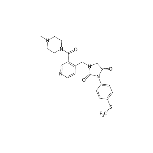 CN1CCN(C(=O)c2cnccc2CN2CC(=O)N(c3ccc(SC(F)(F)F)cc3)C2=O)CC1